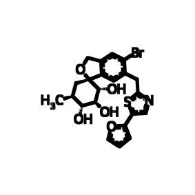 C[C@H]1C[C@]2(OCc3cc(Br)c(Cc4ncc(-c5ccco5)s4)cc32)[C@H](O)[C@@H](O)[C@@H]1O